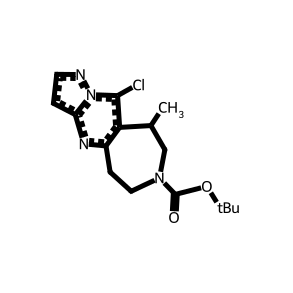 CC1CN(C(=O)OC(C)(C)C)CCc2nc3ccnn3c(Cl)c21